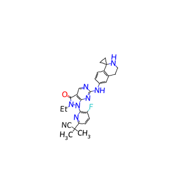 CCn1c(=O)c2cnc(Nc3ccc4c(c3)CCNC43CC3)nc2n1-c1nc(C(C)(C)C#N)ccc1F